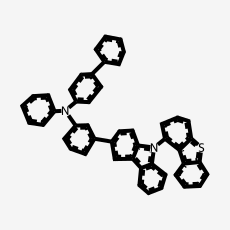 c1ccc(-c2ccc(N(c3ccccc3)c3cccc(-c4ccc5c(c4)c4ccccc4n5-c4cccc5sc6ccccc6c45)c3)cc2)cc1